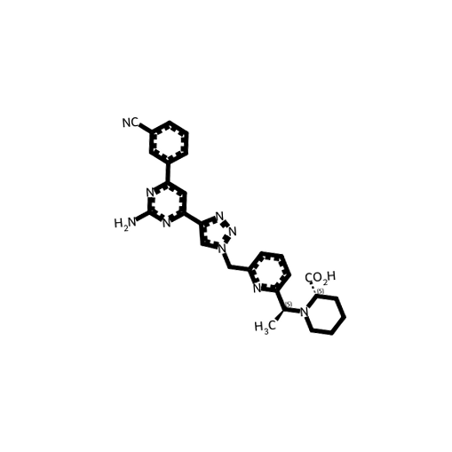 C[C@@H](c1cccc(Cn2cc(-c3cc(-c4cccc(C#N)c4)nc(N)n3)nn2)n1)N1CCCC[C@H]1C(=O)O